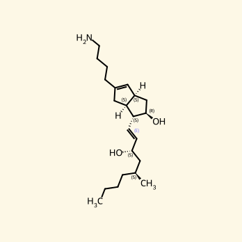 CCCC[C@H](C)C[C@H](O)/C=C/[C@@H]1[C@H]2CC(CCCCN)=C[C@H]2C[C@H]1O